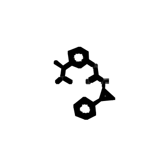 C[C@@H](c1cccc(OC(=O)N[C@@H]2C[C@H]2c2ccccc2)c1)N(C)C